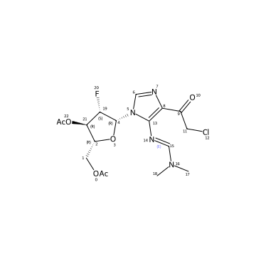 CC(=O)OC[C@H]1O[C@@H](n2cnc(C(=O)CCl)c2/N=C/N(C)C)[C@@H](F)[C@@H]1OC(C)=O